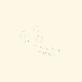 Nc1nc(=O)n(C2OC(COC(=O)c3ccccc3)C(OC(=O)c3ccccc3)C2F)cc1/C=C/CO